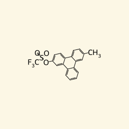 Cc1ccc2c3ccc(OS(=O)(=O)C(F)(F)F)cc3c3ccccc3c2c1